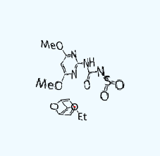 CCOc1c2cccc1O2.COc1cc(OC)nc(NC(=O)N=S(=O)=O)n1